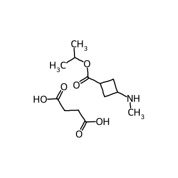 CNC1CC(C(=O)OC(C)C)C1.O=C(O)CCC(=O)O